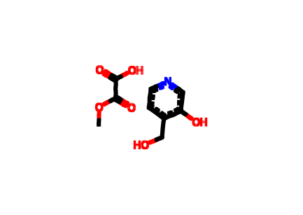 COC(=O)C(=O)O.OCc1ccncc1O